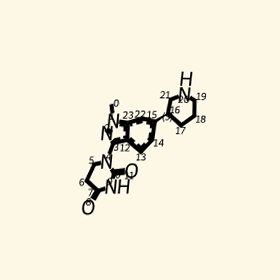 Cn1nc(N2CCC(=O)NC2=O)c2ccc([C@@H]3CCCNC3)cc21